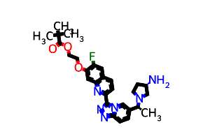 C[C@@H](c1ccc2nnc(-c3ccc4cc(F)c(OCCOC(=O)C(C)(C)C)cc4n3)n2c1)N1CC[C@H](N)C1